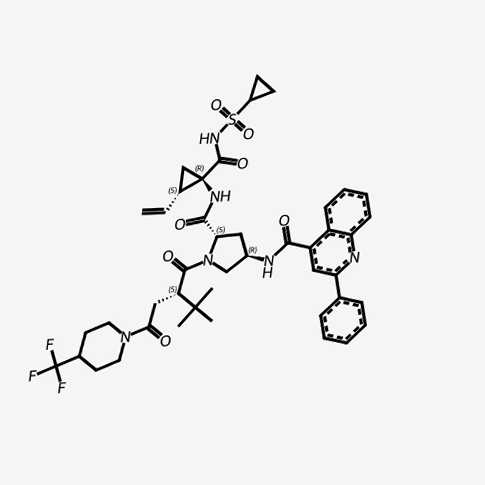 C=C[C@@H]1C[C@]1(NC(=O)[C@@H]1C[C@@H](NC(=O)c2cc(-c3ccccc3)nc3ccccc23)CN1C(=O)[C@@H](CC(=O)N1CCC(C(F)(F)F)CC1)C(C)(C)C)C(=O)NS(=O)(=O)C1CC1